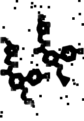 CC(C)c1cc(CNC(=O)c2cnc(OCC(F)(F)F)c(-c3ccc(Cl)cc3)c2)no1.CC(C)c1cc(CNC(=O)c2cnc(OCC3CC3)c(-c3ccc(Cl)cc3)c2)no1